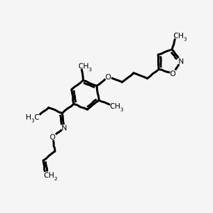 C=CCON=C(CC)c1cc(C)c(OCCCc2cc(C)no2)c(C)c1